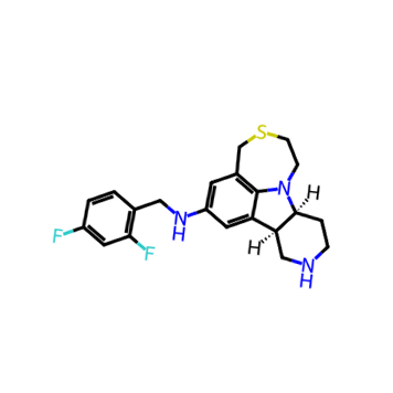 Fc1ccc(CNc2cc3c4c(c2)[C@@H]2CNCC[C@@H]2N4CCSC3)c(F)c1